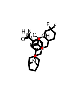 C[C@H](O)C(=O)N(CCN1C2CCC1CC(c1cccc(C(N)=O)c1)C2)CC1CCC(F)(F)CC1